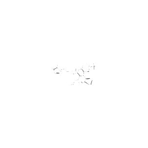 CCOC(=O)C1=C(COCCn2c(C)nc(C)c2C)NC(C)=C(C(=O)NC(C)(C)C)C1c1ccccc1Cl